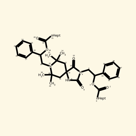 CCCCCCCC(=O)OC(CN1C(=O)NC2(CC(C)(C)N(CC(OC(=O)CCCCCCC)c3ccccc3)C(C)(C)C2)C1=O)c1ccccc1